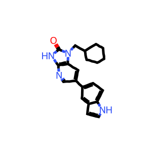 O=c1[nH]c2ncc(-c3ccc4[nH]ccc4c3)cc2n1CC1CCCCC1